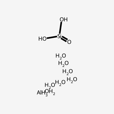 O.O.O.O.O.O.O.O=[Si](O)O.[AlH3]